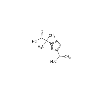 CC(C)c1cnn(C(C)(C)C(=O)O)c1